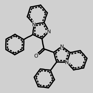 O=C(c1nc2ccccn2c1-c1ccccc1)c1nc2ccccn2c1-c1ccccc1